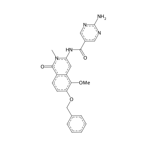 COc1c(OCc2ccccc2)ccc2c(=O)n(C)c(NC(=O)c3cnc(N)nc3)cc12